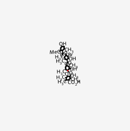 COc1cc(O)cc(C)c1C(=O)Oc1c(C)c(C)c(C(=O)Oc2cc(C)c(C(=O)Oc3c(C)c(C)c(C(=O)O)c(C)c3C)c(O)c2C)c(O)c1Br